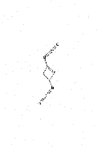 O=C=NC1=CC(N=C=O)C1